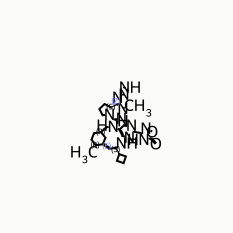 CN/C(=N\N=N)[C@@H]1CCCN1c1nc2nc(-c3noc(=O)[nH]3)nc3c2n1C[C@@H]1CC[C@@H](C)/C(=C/[C@H](C2CCC2)N3)C1